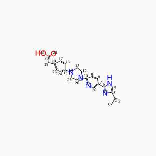 CC(C)c1c[nH]c(-c2ccc(N3CCN(c4ccc(CC(=O)O)cc4)CC3)nc2)n1